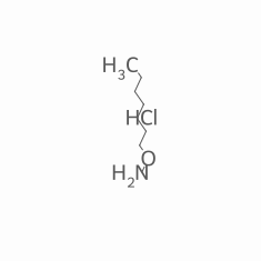 CCCCCCCON.Cl